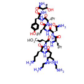 CC(C)C[C@H](NC(=O)[C@H](CCC(=O)O)NC(=O)[C@H](CCCCN)NC(=O)CC(CNCCN)CNCCN)C(=O)N[C@@H](CC(N)=O)C(=O)N[C@@H](CC(C)C)C(=O)N[C@H](C(=O)N[C@@H](Cc1ccc(O)cc1)C(=O)N[C@H](C(N)=O)[C@@H](C)O)C(C)C